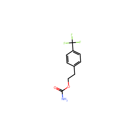 NC(=O)OCCc1ccc(C(F)(F)F)cc1